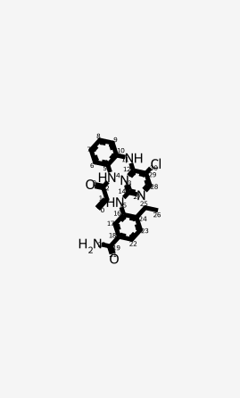 C=CC(=O)Nc1ccccc1Nc1nc(Nc2cc(C(N)=O)ccc2CC)ncc1Cl